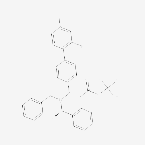 C[C@H](c1ccccc1)N(Cc1ccccc1)[C@@H](CC(=O)OC(C)(C)C)c1ccc(-c2ccc(F)cc2F)cc1